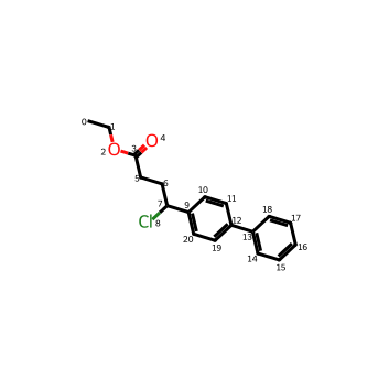 CCOC(=O)CCC(Cl)c1ccc(-c2ccccc2)cc1